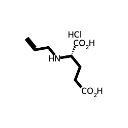 C=CCN[C@@H](CCC(=O)O)C(=O)O.Cl